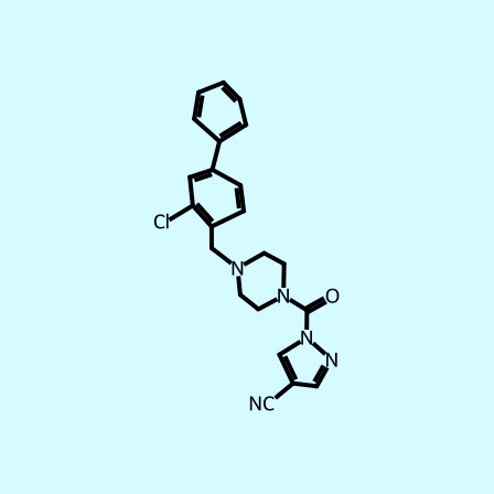 N#Cc1cnn(C(=O)N2CCN(Cc3ccc(-c4ccccc4)cc3Cl)CC2)c1